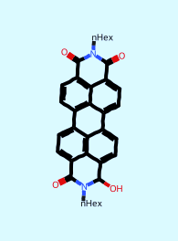 CCCCCCN1C(=O)c2ccc3c4ccc5c6c(ccc(c7ccc(c2c37)C1=O)c64)C(O)N(CCCCCC)C5=O